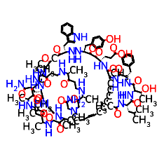 CC(=O)N[C@@H](CC(C)C)C(=O)N[C@H](C(=O)N[C@@H](Cc1ccccc1)C(=O)N[C@]1(C)CCCCCC/C=C/CCC[C@@](C)(C(=O)CN[C@@H](C)C(=O)CCN[C@@H](C)C(=O)CCN[C@@H](C)C(=O)CCN[C@@H](C)C(=O)CCN[C@@H](C)C(=O)CN(C)CC(N)=O)NC(=O)[C@H](CC(C)C)NC(=O)[C@H](CCC(N)=O)NCN[C@@H](C)C(=O)CC(=O)[C@H](Cc2c[nH]c3ccccc23)NN[C@@H](Cc2ccc(O)cc2)C(=O)C(=O)[C@H](CCC(=O)O)NC1=O)[C@@H](C)O